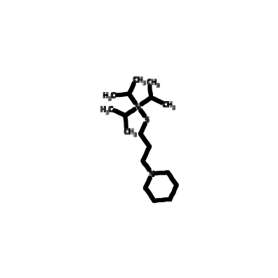 CC(C)[Si](SCCCN1CCCCC1)(C(C)C)C(C)C